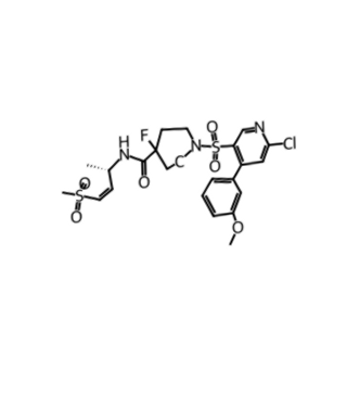 COc1cccc(-c2cc(Cl)ncc2S(=O)(=O)N2CCC(F)(C(=O)N[C@@H](C)/C=C\S(C)(=O)=O)CC2)c1